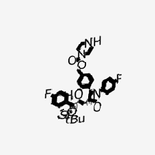 CC(C)(C)[Si](C)(C)O[C@@H](CC[C@H]1C(=O)N(c2ccc(F)cc2)[C@@H]1c1ccc(COC(=O)N2CCNCC2)cc1O)c1ccc(F)cc1